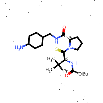 CC(C)COC(=O)N[C@H](C(=S)N1CCC[C@H]1C(=O)NCC1CCC(N)CC1)C(C)(C)C(C)C